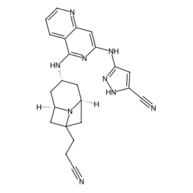 N#CCCC12C[C@H]3C[C@H](Nc4nc(Nc5cc(C#N)[nH]n5)cc5ncccc45)C[C@@H](C1)N32